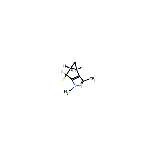 Cn1nc(C(F)(F)F)c2c1C(F)(F)[C@@H]1C[C@H]21